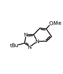 COc1ccn2nc(C(C)(C)C)nc2c1